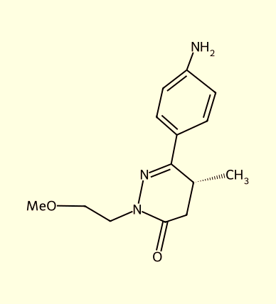 COCCN1N=C(c2ccc(N)cc2)[C@H](C)CC1=O